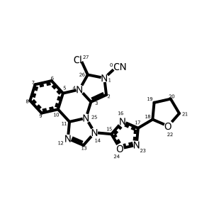 N#CN1C=C2N(c3ccccc3C3N=CN(c4nc(C5CCCO5)no4)N23)C1Cl